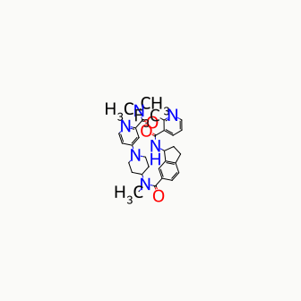 CN(C)C(=O)c1cc(N2CCC(N(C)C(=O)c3ccc4c(c3)C(NC(=O)c3cccnc3C(F)(F)F)CC4)CC2)ccn1